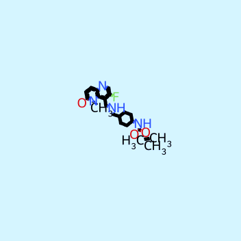 Cn1c(=O)ccc2ncc(F)c(CNCC3CCC(NC(=O)OC(C)(C)C)CC3)c21